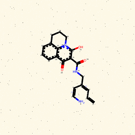 C=C/C=C(\C=C/N)CNC(=O)c1c(O)n2c3c(cccc3c1=O)CCC2